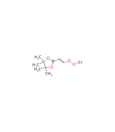 CCOO/C=C/B1OC(C)(C)C(C)(C)O1